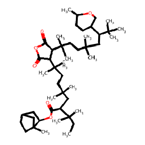 CCC(C)(C)C(CC(C)(C)CCC(C)(C)C1C(=O)OC(=O)C1C(C)(C)CCC(C)(C)CC(C1CCC(C)OC1)C(C)(C)C)C(=O)OC1CC2CCC1(C)C2